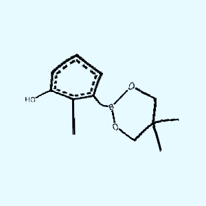 Cc1c(O)cccc1B1OCC(C)(C)CO1